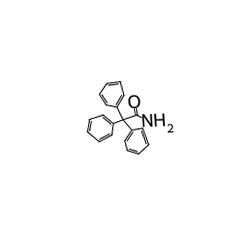 NC(=O)C(c1ccccc1)(c1ccccc1)c1ccccc1